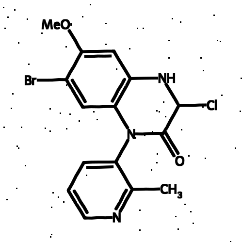 COc1cc2c(cc1Br)N(c1cccnc1C)C(=O)C(Cl)N2